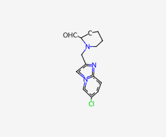 O=CC1CCCCN1Cc1cn2cc(Cl)ccc2n1